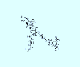 CC(C)N[C@@H](Cc1ccccc1)C(=O)C(C)(C)CN[C@@H](CC(=O)NCCNCCN)C(=O)NCCSSCCNC(=O)c1cc(C(C)C)cc(C(C)C)c1